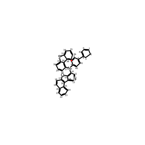 C1=CCCC(c2ccc(N(c3cncc4c3oc3ccc5ccccc5c34)c3cccc4sc5ccccc5c34)cc2)=C1